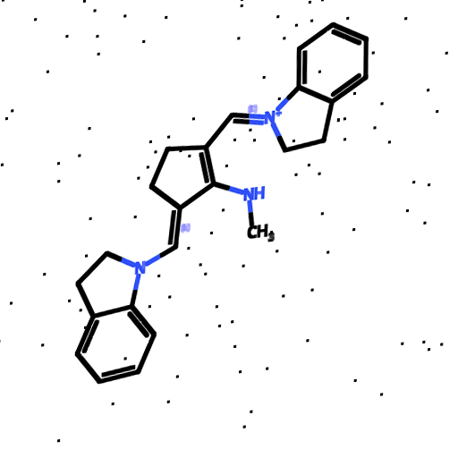 CNC1=C(/C=[N+]2\CCc3ccccc32)CC/C1=C\N1CCc2ccccc21